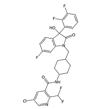 O=C(NC1CCC(CN2C(=O)C(O)(c3cccc(F)c3F)c3ccc(F)cc32)CC1)c1cc(Cl)cnc1C(F)F